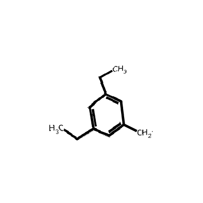 [CH2]c1cc(CC)[c]c(CC)c1